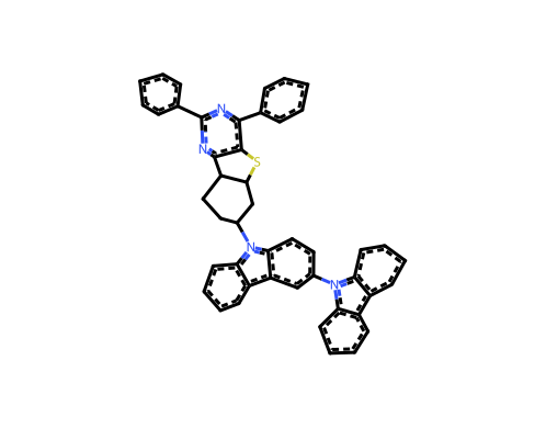 c1ccc(-c2nc(-c3ccccc3)c3c(n2)C2CCC(n4c5ccccc5c5cc(-n6c7ccccc7c7ccccc76)ccc54)CC2S3)cc1